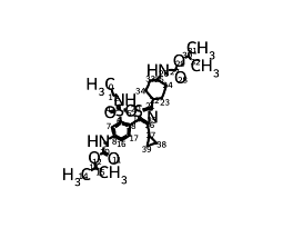 CCNS(=O)(=O)c1cc(NC(=O)OC(C)C)ccc1-c1sc(C2CCC(NC(=O)OC(C)C)CC2)nc1C1CC1